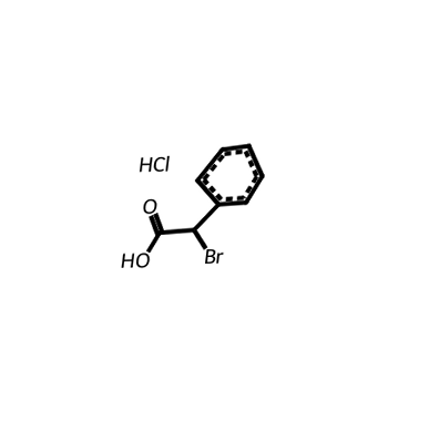 Cl.O=C(O)C(Br)c1ccccc1